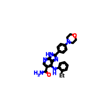 CCc1ccccc1Nc1c(C(N)=O)cnc2[nH]c(-c3ccc(N4CCOCC4)cc3)nc12